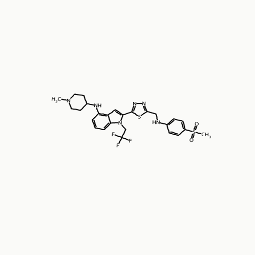 CN1CCC(Nc2cccc3c2cc(-c2nnc(CNc4ccc(S(C)(=O)=O)cc4)s2)n3CC(F)(F)F)CC1